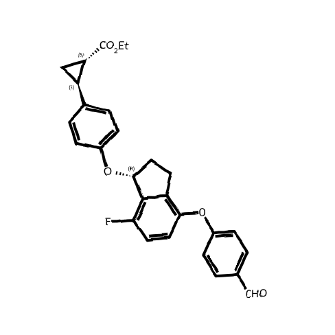 CCOC(=O)[C@H]1C[C@@H]1c1ccc(O[C@@H]2CCc3c(Oc4ccc(C=O)cc4)ccc(F)c32)cc1